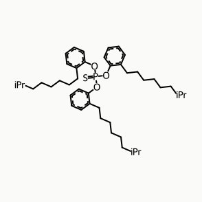 CC(C)CCCCCCc1ccccc1OP(=S)(Oc1ccccc1CCCCCCC(C)C)Oc1ccccc1CCCCCCC(C)C